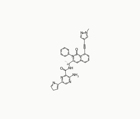 C[C@@H](NC(=O)c1nc(C2=CCC=N2)cnc1N)c1cc2cccc(C#Cc3cnn(C)c3)c2c(=O)n1-c1ccccc1